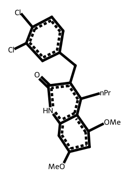 CCCc1c(Cc2ccc(Cl)c(Cl)c2)c(=O)[nH]c2cc(OC)cc(OC)c12